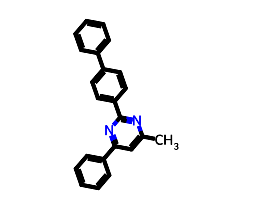 Cc1cc(-c2ccccc2)nc(-c2ccc(-c3ccccc3)cc2)n1